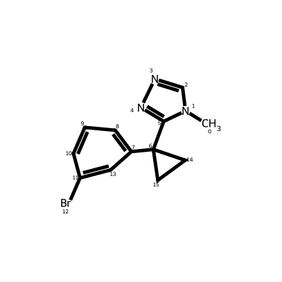 Cn1cnnc1C1(c2cccc(Br)c2)CC1